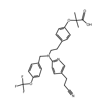 CC(C)(Oc1ccc(CCN(Cc2ccc(OC(F)(F)F)cc2)c2ccc(CCC#N)cn2)cc1)C(=O)O